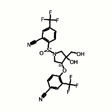 N#Cc1ccc(O[C@H]2CN([S+]([O-])c3ccc(C(F)(F)F)cc3C#N)CC2(O)CO)c(C(F)(F)F)c1